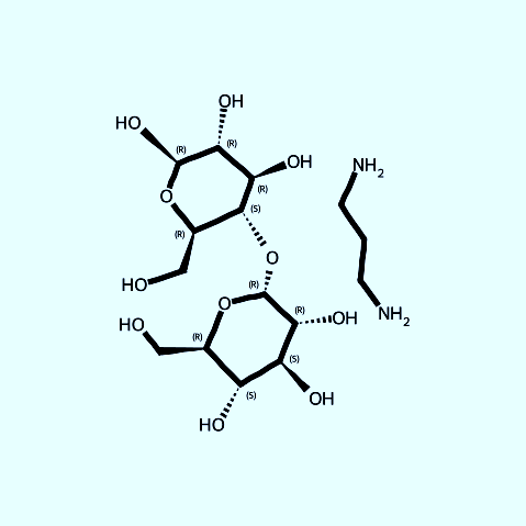 NCCCN.OC[C@H]1O[C@H](O[C@H]2[C@H](O)[C@@H](O)[C@H](O)O[C@@H]2CO)[C@H](O)[C@@H](O)[C@@H]1O